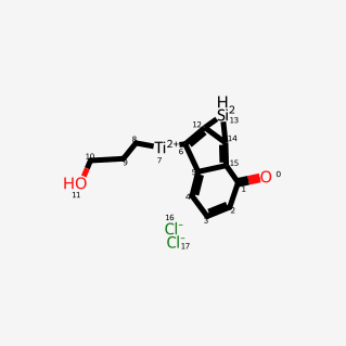 O=C1C=CC=C2[C]([Ti+2][CH2]CCO)=C3[SiH2]C3=C12.[Cl-].[Cl-]